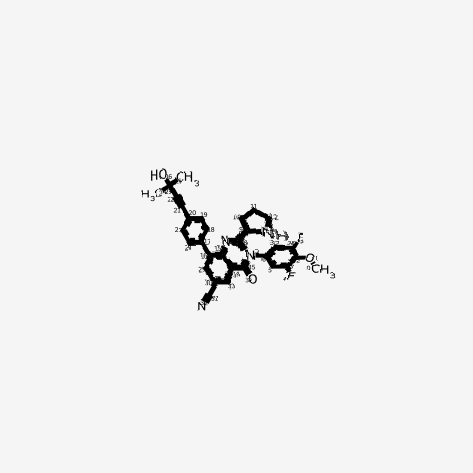 COc1c(F)cc(-n2c(C3CCCN3)nc3c(-c4ccc(C#CC(C)(C)O)cc4)cc(C#N)cc3c2=O)cc1F